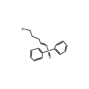 CC(C)CCCC=NP(=O)(c1ccccc1)c1ccccc1